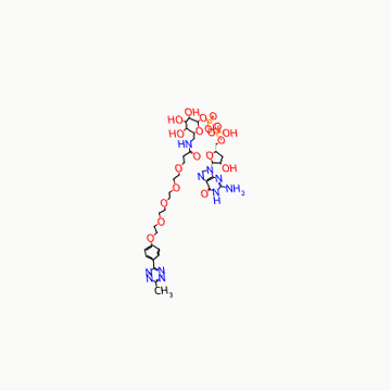 Cc1nnc(-c2ccc(OCCOCCOCCOCCOCCC(=O)NCC3O[C@H](OP(=O)(O)OP(=O)(O)OC[C@@H]4C[C@H](O)[C@H](n5cnc6c(=O)[nH]c(N)nc65)O4)C(O)C(O)[C@@H]3O)cc2)nn1